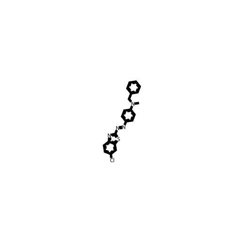 CN(Cc1ccccc1)c1ccc(N=Nc2nc3ccc(Cl)cc3s2)cc1